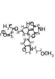 COCCCN1CCOc2ccc(CO[C@H]3CNC[C@@H](O)[C@@H]3c3ccc(COC(C)C4C[C@@H]4OC)cc3)cc21